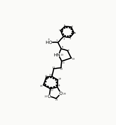 OC(c1ccccc1)C1CCC(CCc2ccc3c(c2)OCO3)N1